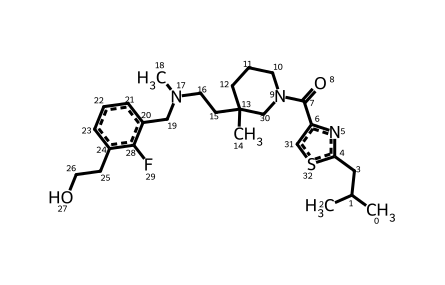 CC(C)Cc1nc(C(=O)N2CCCC(C)(CCN(C)Cc3cccc(CCO)c3F)C2)cs1